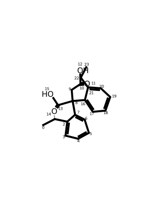 CCc1ccccc1C(CC(=O)O)(C(=O)O)c1ccccc1CC